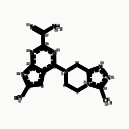 CCCc1cc2c(N3CCn4c(nnc4C(F)(F)F)C3)nc(C(N)=S)nc2s1